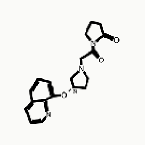 O=C1CCCN1C(=O)CN1CC[C@H](Oc2cccc3cccnc23)C1